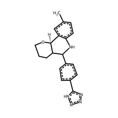 Cc1ccc2c(c1)[C@@H]1OCCCC1C(c1ccc(-c3nnn[nH]3)cc1)N2